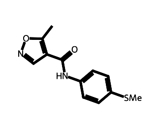 CSc1ccc(NC(=O)c2cnoc2C)cc1